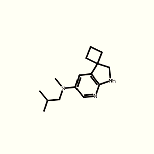 CC(C)CN(C)c1cnc2c(c1)C1(CCC1)CN2